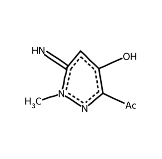 CC(=O)c1nn(C)c(=N)cc1O